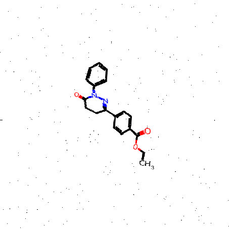 CCOC(=O)c1ccc(C2=NN(c3ccccc3)C(=O)CC2)cc1